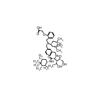 CC(C)C[C@@H](CN(C)C)N(Cc1cccc(CN2O[C@@H](CO)[C@@H]([C@H](C)O)[C@H]2C(=O)N[C@H]2C[C@@H](C)C(C)(C)[C@@H](C)[C@@H]2C)c1)Cc1ccccc1OCC(=O)O